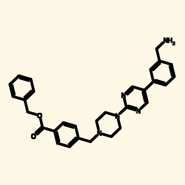 NCc1cccc(-c2cnc(N3CCN(Cc4ccc(C(=O)OCc5ccccc5)cc4)CC3)nc2)c1